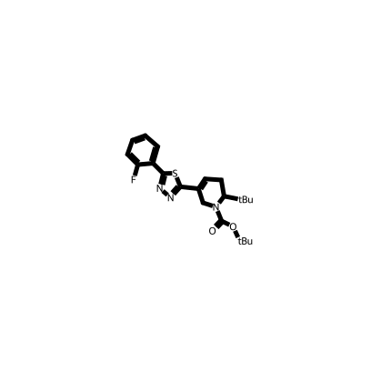 CC(C)(C)OC(=O)N1CC(c2nnc(-c3ccccc3F)s2)=CCC1C(C)(C)C